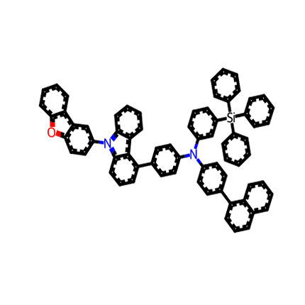 c1ccc([Si](c2ccccc2)(c2ccccc2)c2cccc(N(c3ccc(-c4cccc5ccccc45)cc3)c3ccc(-c4cccc5c4c4ccccc4n5-c4ccc5oc6ccccc6c5c4)cc3)c2)cc1